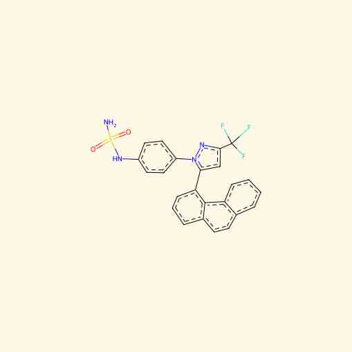 NS(=O)(=O)Nc1ccc(-n2nc(C(F)(F)F)cc2-c2cccc3ccc4ccccc4c23)cc1